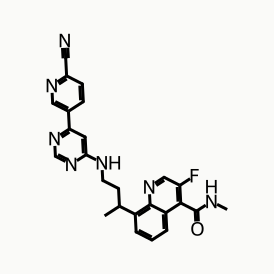 CNC(=O)c1c(F)cnc2c(C(C)CCNc3cc(-c4ccc(C#N)nc4)ncn3)cccc12